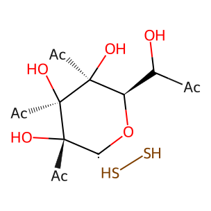 CC(=O)C(O)[C@H]1O[CH][C@@](O)(C(C)=O)[C@](O)(C(C)=O)[C@]1(O)C(C)=O.SS